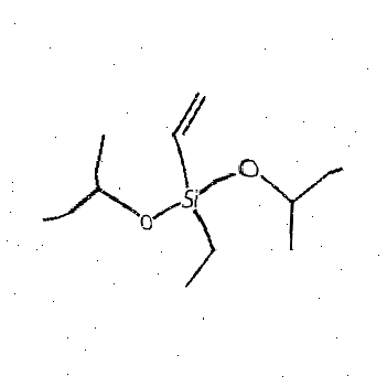 C=C[Si](CC)(OC(C)C)OC(C)C